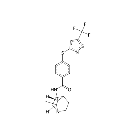 C[C@H]1[C@H](NC(=O)c2ccc(Sc3cc(C(F)(F)F)sn3)cc2)C2CCN1CC2